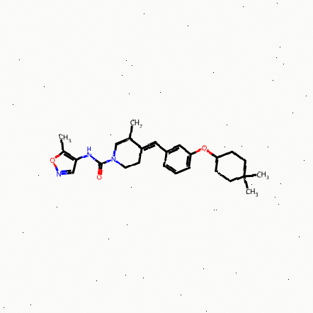 Cc1oncc1NC(=O)N1CC/C(=C\c2cccc(OC3CCC(C)(C)CC3)c2)C(C)C1